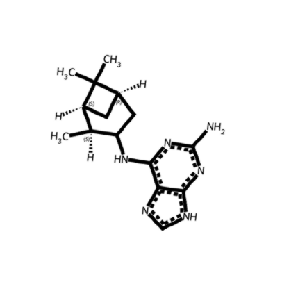 C[C@@H]1C(Nc2nc(N)nc3[nH]cnc23)C[C@H]2C[C@@H]1C2(C)C